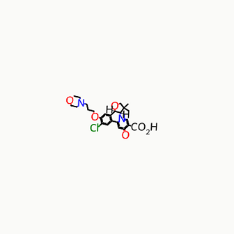 CC1(C)CO[C@@H]2c3cc(OCCCN4CCOCC4)c(Cl)cc3-c3cc(=O)c(C(=O)O)cn3[C@@H]21